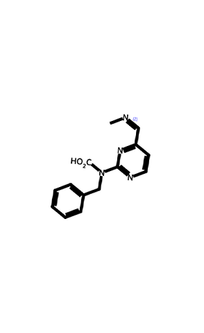 C/N=C\c1ccnc(N(Cc2ccccc2)C(=O)O)n1